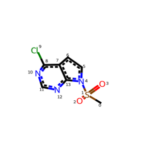 CS(=O)(=O)n1ccc2c(Cl)ncnc21